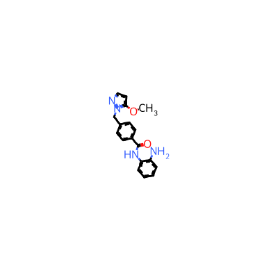 COc1ccnn1Cc1ccc(C(=O)Nc2ccccc2N)cc1